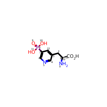 N[C@@H](Cc1cncc(P(=O)(O)O)c1)C(=O)O